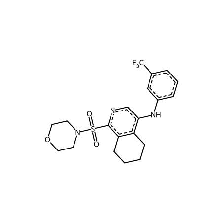 O=S(=O)(c1ncc(Nc2cccc(C(F)(F)F)c2)c2c1CCCC2)N1CCOCC1